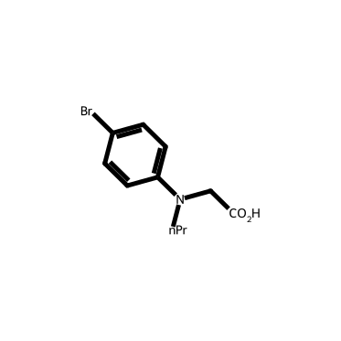 CCCN(CC(=O)O)c1ccc(Br)cc1